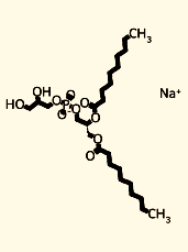 CCCCCCCCCC(=O)OC[C@H](COP(=O)([O-])OCC(O)CO)OC(=O)CCCCCCCCC.[Na+]